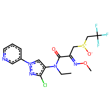 CCN(C(=O)C(C[S+]([O-])CC(F)(F)F)=NOC)c1cn(-c2cccnc2)nc1Cl